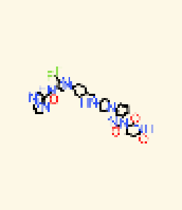 Cn1c(=O)n(C2CCC(=O)NC2=O)c2cccc(N3CCC(NCC4CCC(n5cc(NC(=O)c6cnn7cccnc67)c(C(F)F)n5)CC4)CC3)c21